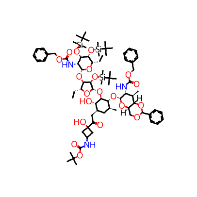 CC[C@@H]1O[C@H](O[C@H]2[C@@H](O[Si](C)(C)C(C)(C)C)[C@H](O[C@@H]3[C@@H](O)[C@H](CC(=O)C4(O)CC(NC(=O)OC(C)(C)C)C4)C[C@H](C)[C@H]3O[C@H]3O[C@@H]4COC(c5ccccc5)O[C@H]4[C@H](C)[C@H]3NC(=O)OCc3ccccc3)O[C@@H]2CC)[C@H](NC(=O)OCc2ccccc2)[C@@H](O[Si](C)(C)C(C)(C)C)[C@@H]1O[Si](C)(C)C(C)(C)C